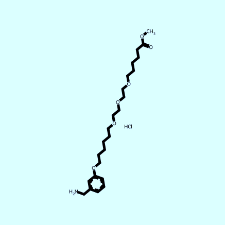 COC(=O)CCCCCOCCOCCOCCCCCCOc1cccc(CN)c1.Cl